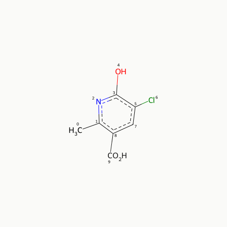 Cc1nc(O)c(Cl)cc1C(=O)O